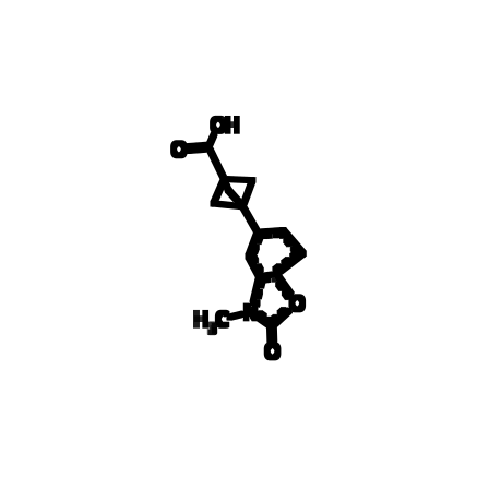 Cn1c(=O)oc2ccc(C34CC(C(=O)O)(C3)C4)cc21